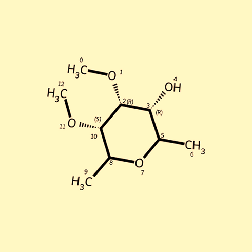 CO[C@@H]1[C@H](O)C(C)OC(C)[C@@H]1OC